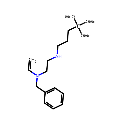 C=CN(CCNCC[CH2][Ti]([O]C)([O]C)[O]C)Cc1ccccc1